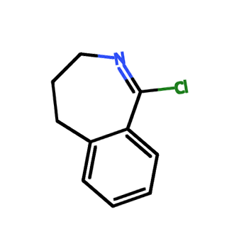 ClC1=NCCCc2ccccc21